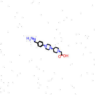 NN=Cc1ccc(N2CCN(C3CCN(CC(=O)O)CC3)CC2)cc1